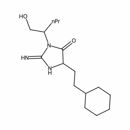 CCCC(CO)N1C(=N)NC(CCC2CCCCC2)C1=O